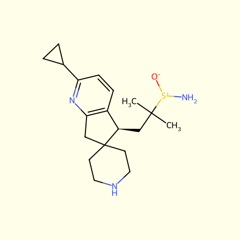 CC(C)(C[C@@H]1c2ccc(C3CC3)nc2CC12CCNCC2)[S+](N)[O-]